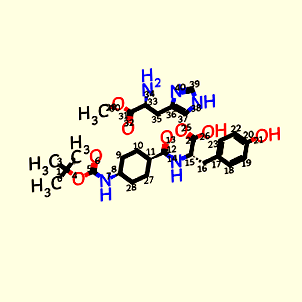 CC(C)(C)OC(=O)N[C@H]1CC[C@@H](C(=O)N[C@@H](Cc2ccc(O)cc2)C(=O)O)CC1.COC(=O)[C@@H](N)Cc1c[nH]cn1